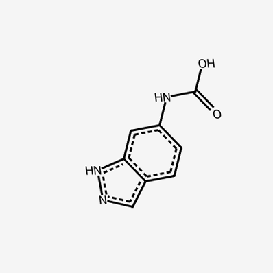 O=C(O)Nc1ccc2cn[nH]c2c1